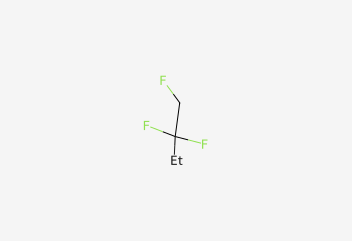 [CH2]CC(F)(F)CF